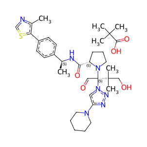 CC(C)(C)C(=O)O.Cc1ncsc1-c1ccc([C@H](C)NC(=O)[C@@H]2CCCN2[C@](C=O)(n2cc(N3CCCCC3)nn2)C(C)(C)CO)cc1